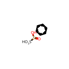 O=S(O)S(=O)(=O)O.c1ccccc1